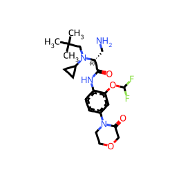 CC(C)(C)CN(C1CC1)[C@H](CN)C(=O)Nc1ccc(N2CCOCC2=O)cc1OC(F)F